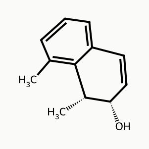 Cc1cccc2c1[C@@H](C)[C@@H](O)C=C2